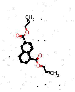 C=CCOC(=O)c1ccc2c(C(=O)OCC=C)cccc2c1